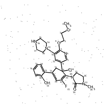 COCCOc1ncc(C2(Cl)CC(c3ccccc3O)=CC(F)=C2N2CCN(C)C2=O)cc1N1CCNCC1